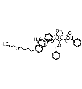 C=CCOCCCCc1ccc(Cc2cc([C@]34OC[C@](C(=O)O)(O3)[C@@H](OCc3ccccc3)[C@H](OCc3ccccc3)[C@H]4OCc3ccccc3)ccc2C)cc1